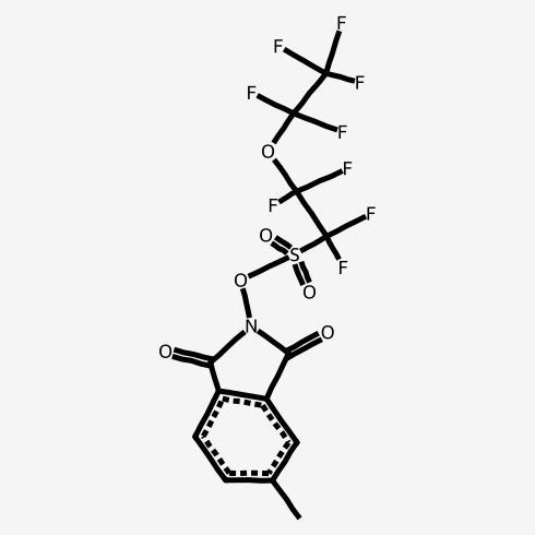 Cc1ccc2c(c1)C(=O)N(OS(=O)(=O)C(F)(F)C(F)(F)OC(F)(F)C(F)(F)F)C2=O